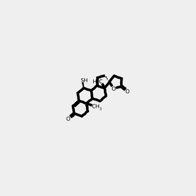 CC12CCC(=O)C=C1C[C@@H](S)C1C2CCC2(C)C1CC[C@@]21CCC(=O)O1